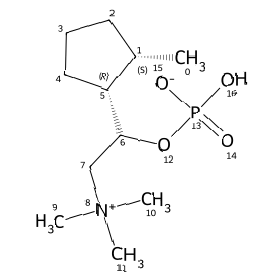 C[C@H]1CCC[C@H]1C(C[N+](C)(C)C)OP(=O)([O-])O